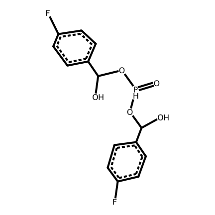 O=[PH](OC(O)c1ccc(F)cc1)OC(O)c1ccc(F)cc1